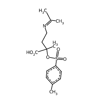 CC(C)=NCCC(C)(OS(=O)(=O)c1ccc(C)cc1)C(=O)O